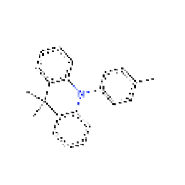 Cc1ccc(N2c3ccccc3C(C)(C)c3ccccc32)cc1